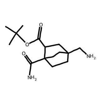 CC(C)(C)OC(=O)C1CC2(CN)CCC1(C(N)=O)CC2